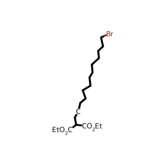 CCOC(=O)C(CCCCCCCCCCCCCBr)C(=O)OCC